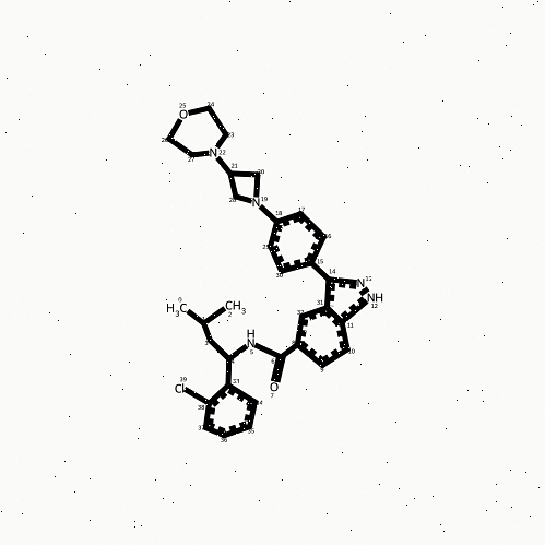 CC(C)CC(NC(=O)c1ccc2[nH]nc(-c3ccc(N4CC(N5CCOCC5)C4)cc3)c2c1)c1ccccc1Cl